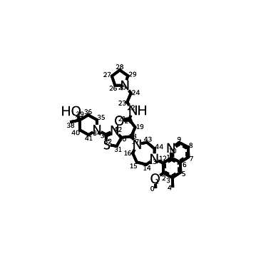 COc1c(C)cc2cccnc2c1N1CCCN(C(CC(=O)NCCN2CCCC2)C2CSC(N3CCC(C)(O)CC3)=N2)CC1